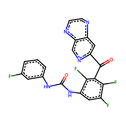 O=C(Nc1cccc(F)c1)Nc1cc(F)c(F)c(C(=O)c2cc3nccnc3cn2)c1F